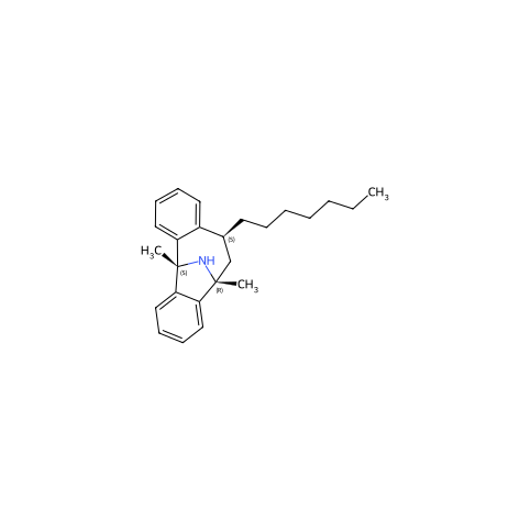 CCCCCCC[C@H]1C[C@@]2(C)N[C@@](C)(c3ccccc31)c1ccccc12